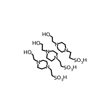 O=S(=O)(O)CCN1CCN(CCO)CC1.O=S(=O)(O)CCN1CCN(CCO)CC1.O=S(=O)(O)CCN1CCN(CCO)CC1